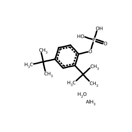 CC(C)(C)c1ccc(OP(=O)(O)O)c(C(C)(C)C)c1.O.[AlH3]